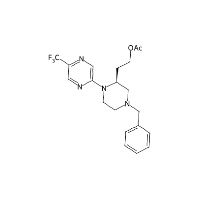 CC(=O)OCC[C@H]1CN(Cc2ccccc2)CCN1c1cnc(C(F)(F)F)cn1